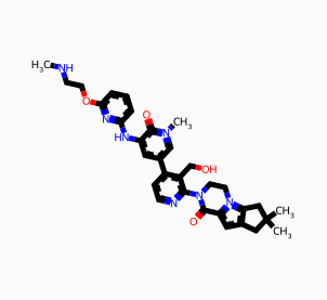 CNCCOc1cccc(Nc2cc(-c3ccnc(N4CCn5c(cc6c5CC(C)(C)C6)C4=O)c3CO)cn(C)c2=O)n1